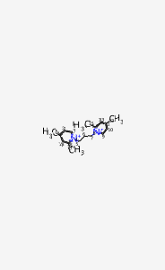 Cc1cc[n+](CCC[n+]2ccc(C)cc2C)c(C)c1